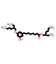 CCCCC(CC)COC(=O)CCCCCCCc1cc(O)cc(OCC(CC)CCCC)c1